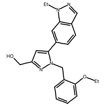 CCOc1ccccc1Cn1nc(CO)cc1-c1ccc2cnn(CC)c2c1